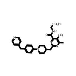 Cc1nc(CC2CCN(c3ccc(Cc4ccncc4)cc3)CC2)nc(C(=O)NCC(=O)O)c1O